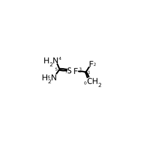 C=C(F)F.NC(N)=S